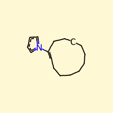 C1=C(n2cccc2)CCCCCCCCCC1